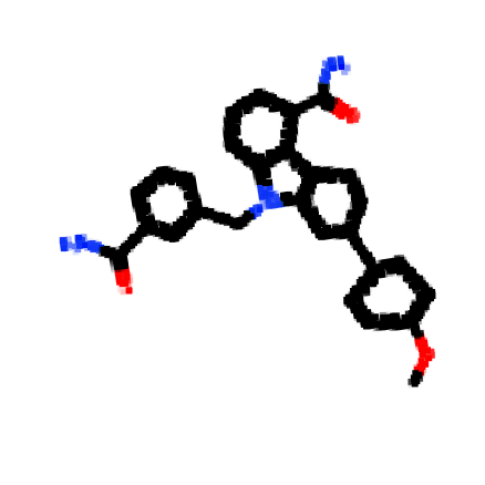 COc1ccc(-c2c[c]c3c4c(C(N)=O)cccc4n(Cc4cccc(C(N)=O)c4)c3c2)cc1